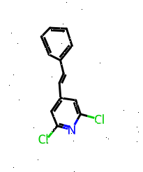 Clc1cc(/C=C/c2ccccc2)cc(Cl)n1